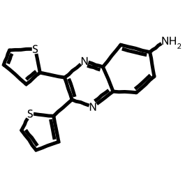 Nc1ccc2nc(-c3cccs3)c(-c3cccs3)nc2c1